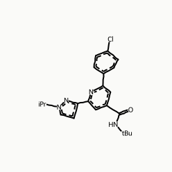 CC(C)n1ccc(-c2cc(C(=O)NC(C)(C)C)cc(-c3ccc(Cl)cc3)n2)n1